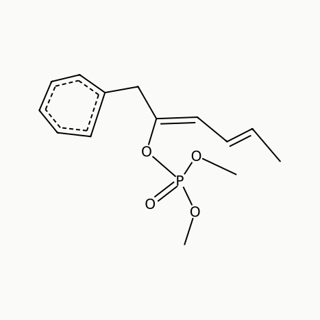 CC=CC=C(Cc1ccccc1)OP(=O)(OC)OC